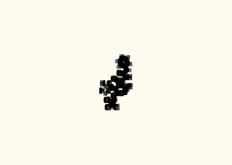 C=C(C)C(C(=O)OCC(Cl)(Cl)Cl)N1C(=O)C(NC(=O)Cc2ccccc2)C1[S+]([O-])Cl